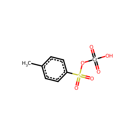 Cc1ccc(S(=O)(=O)[O][Cr](=[O])(=[O])[OH])cc1